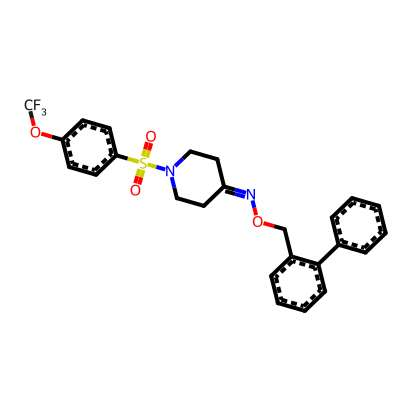 O=S(=O)(c1ccc(OC(F)(F)F)cc1)N1CCC(=NOCc2ccccc2-c2ccccc2)CC1